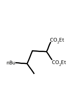 CCCCC(C)CC(C(=O)OCC)C(=O)OCC